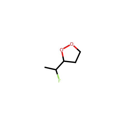 CC(F)C1CCOO1